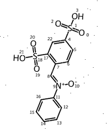 O=S(=O)(O)c1ccc(C=[N+]([O-])c2ccccc2)c(S(=O)(=O)O)c1